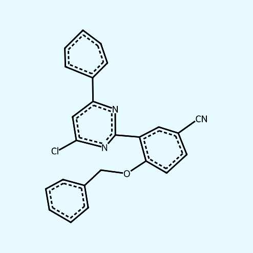 N#Cc1ccc(OCc2ccccc2)c(-c2nc(Cl)cc(-c3ccccc3)n2)c1